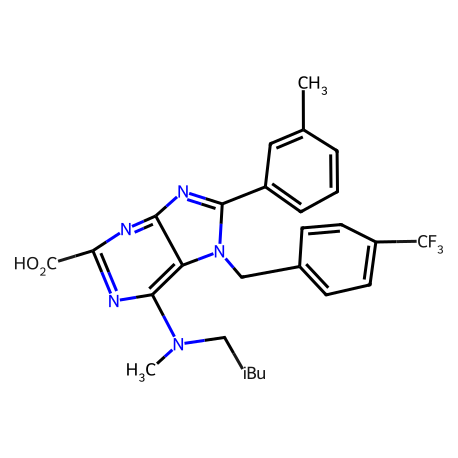 CCC(C)CN(C)c1nc(C(=O)O)nc2nc(-c3cccc(C)c3)n(Cc3ccc(C(F)(F)F)cc3)c12